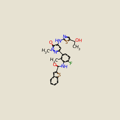 Cc1c(-c2cc(Nc3ncc(C(C)O)s3)c(=O)n(C)n2)ccc(F)c1NC(=O)c1cc2ccccc2s1